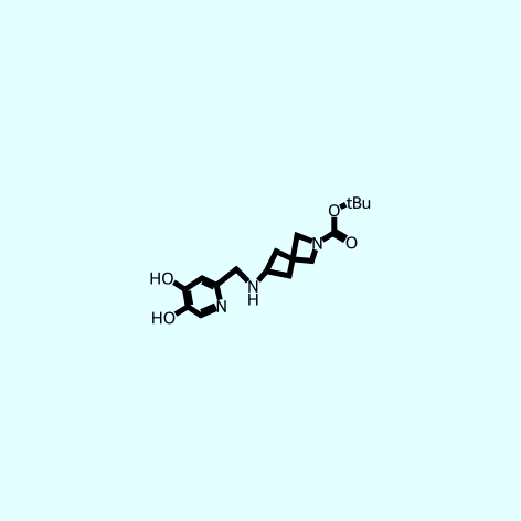 CC(C)(C)OC(=O)N1CC2(CC(NCc3cc(O)c(O)cn3)C2)C1